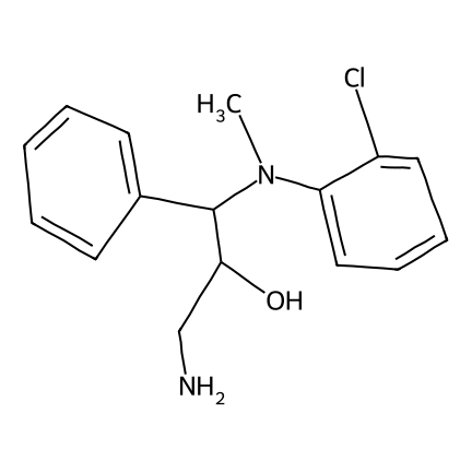 CN(c1ccccc1Cl)C(c1ccccc1)C(O)CN